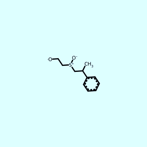 CC(C[S+]([O-])CC[O])c1ccccc1